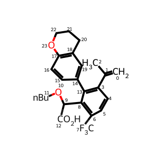 C=C(C)c1ccc(C(F)(F)F)c(C(OCCCC)C(=O)O)c1-c1ccc2c(c1)CCCO2